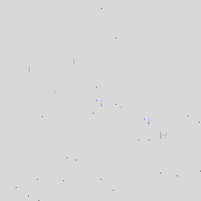 CN1CCC2(C1)CN(C(=O)OC(C)(C)C)C2